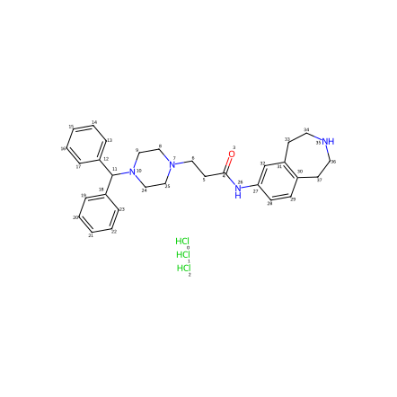 Cl.Cl.Cl.O=C(CCN1CCN(C(c2ccccc2)c2ccccc2)CC1)Nc1ccc2c(c1)CCNCC2